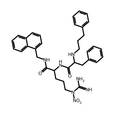 N=C(N)N(CCCC(NC(=O)C(Cc1ccccc1)NCCCc1ccccc1)C(=O)NCc1cccc2ccccc12)[N+](=O)[O-]